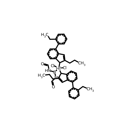 CCCC1=Cc2c(-c3ccccc3CC)cccc2[CH]1[Hf]([Cl])([Cl])([B](NC=O)NC=O)[CH]1C(CCC)=Cc2c(-c3ccccc3CC)cccc21